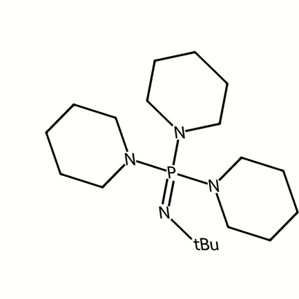 CC(C)(C)N=P(N1CCCCC1)(N1CCCCC1)N1CCCCC1